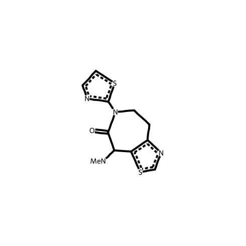 CNC1C(=O)N(c2nccs2)CCc2ncsc21